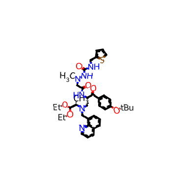 CCOC(OCC)[C@H](C)N(Cc1cccc2cccnc12)C[C@H](NC(=O)CN(C)NC(=O)NCc1cccs1)C(=O)c1ccc(OC(C)(C)C)cc1